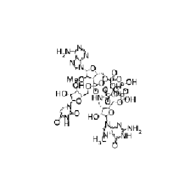 CO[C@@H]1[C@H](P(=O)([O-])OC[C@H]2O[C@@H](n3ccc(=O)[nH]c3=O)[C@H](O)[C@@H]2O)[C@@H](COP(=O)(O)OP(=O)(O)OP(=O)(O)OC[C@H]2O[C@@H](n3c[n+](C)c4c(=O)[nH]c(N)nc43)[C@H](O)[C@@H]2CNS(C)(=O)=O)O[C@H]1n1cnc2c(N)ncnc21